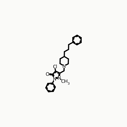 Cn1c(CN2CCC(CCCc3ccccc3)CC2)c(Cl)c(=O)n1-c1ccccc1